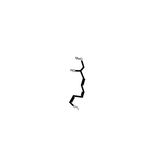 C\C=C/C=C\C=C\C(O)COC